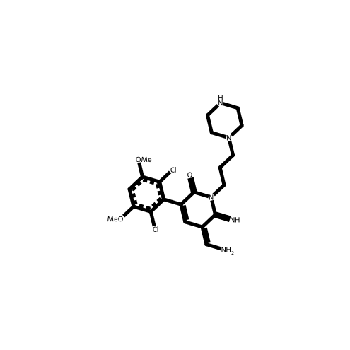 COc1cc(OC)c(Cl)c(C2=C/C(=C/N)C(=N)N(CCCN3CCNCC3)C2=O)c1Cl